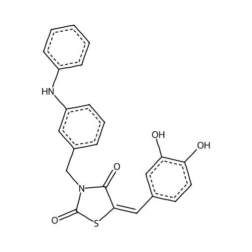 O=C1SC(=Cc2ccc(O)c(O)c2)C(=O)N1Cc1cccc(Nc2ccccc2)c1